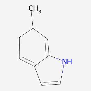 CC1C=c2[nH]ccc2=CC1